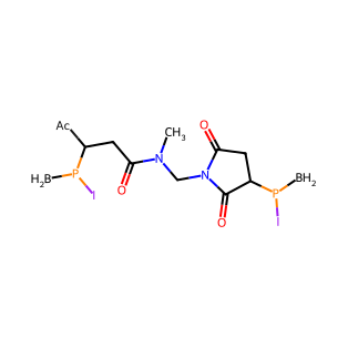 BP(I)C(CC(=O)N(C)CN1C(=O)CC(P(B)I)C1=O)C(C)=O